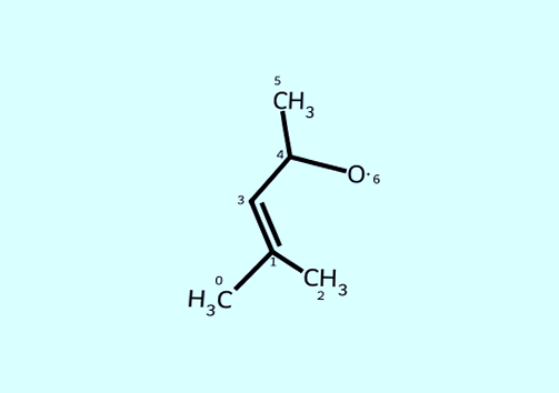 CC(C)=CC(C)[O]